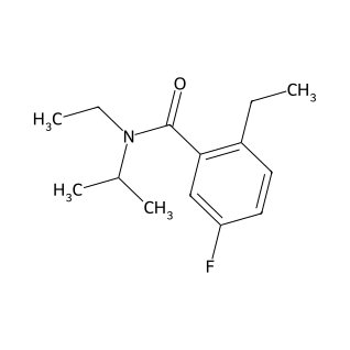 CCc1ccc(F)cc1C(=O)N(CC)C(C)C